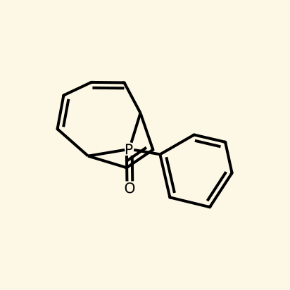 O=P1(c2ccccc2)C2C=CC=CC1C=C2